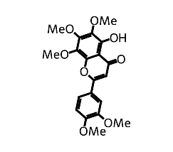 COc1ccc(-c2cc(=O)c3c(O)c(OC)c(OC)c(OC)c3o2)cc1OC